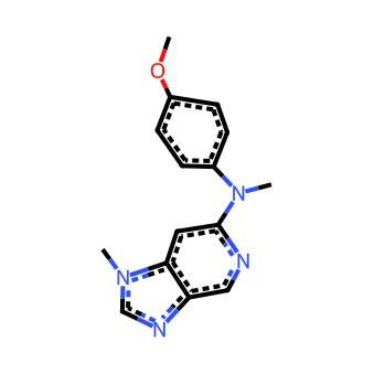 COc1ccc(N(C)c2cc3c(cn2)ncn3C)cc1